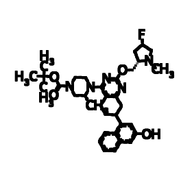 C[C@H]1CN(C(=O)OC(C)(C)C)CCN1c1nc(OC[C@@H]2C[C@@H](F)CN2C)nc2c1CCC(c1cc(O)cc3ccccc13)C2